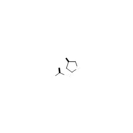 CCC(=O)OC.O=C1CCNC1